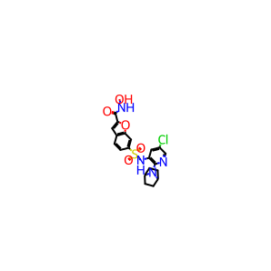 O=C(NO)c1cc2ccc(S(=O)(=O)Nc3cc(Cl)cnc3N3C4CCC3CC4)cc2o1